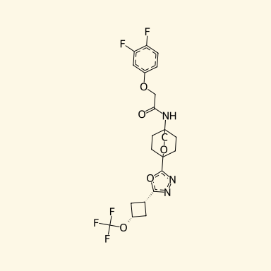 O=C(COc1ccc(F)c(F)c1)NC12CCC(c3nnc([C@H]4C[C@@H](OC(F)(F)F)C4)o3)(CC1)OC2